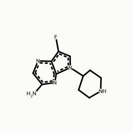 Nc1cnc2c(F)cn(C3CCNCC3)c2n1